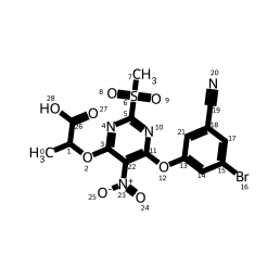 CC(Oc1nc(S(C)(=O)=O)nc(Oc2cc(Br)cc(C#N)c2)c1[N+](=O)[O-])C(=O)O